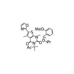 COc1ccccc1[C@@H](Cn1c(=O)n(C(C)(C)C(C)=O)c(=O)c2c(C)c(-c3ncco3)sc21)OC(C)C